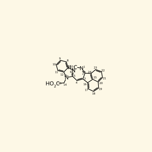 C/N=c1\c(=C/c2nc3ccccc3n2CC(=O)O)c2cccc3cccc1c32